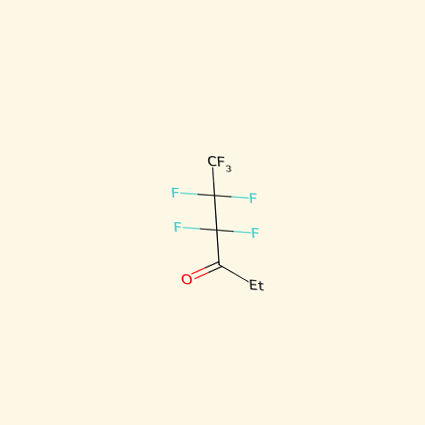 [CH2]CC(=O)C(F)(F)C(F)(F)C(F)(F)F